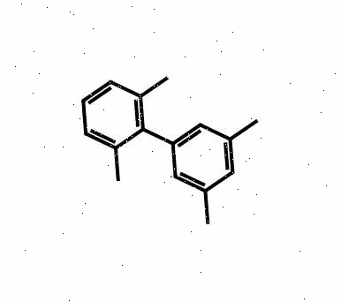 Cc1[c]c(-c2c(C)cccc2C)cc(C)c1